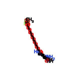 CCCN(OCC)C(=O)C1=Cc2ccc(-c3ccc(C(=O)N4CCC[C@H]4C(=O)NCCOCCOCCOCCOCCOCCOCCOCCOCCOCCOCCC(=O)Oc4c(F)c(F)c(S(C)(=O)=O)c(F)c4F)cc3)cc2N=C(N)C1